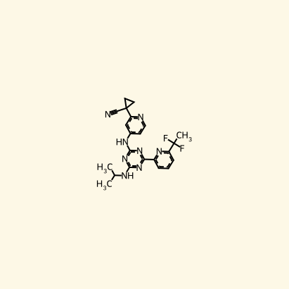 CC(C)Nc1nc(Nc2ccnc(C3(C#N)CC3)c2)nc(-c2cccc(C(C)(F)F)n2)n1